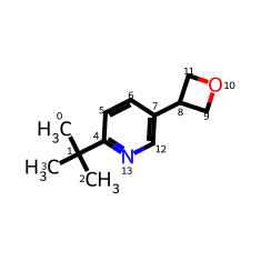 CC(C)(C)c1ccc(C2COC2)cn1